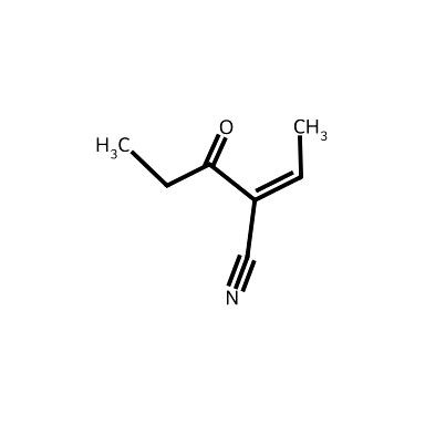 C/C=C(/C#N)C(=O)CC